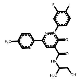 CC(CO)NC(=O)c1cc(-c2ccc(C(F)(F)F)cn2)nn(-c2ccc(F)c(F)c2)c1=O